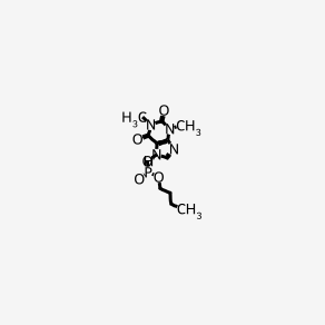 CCCCO[PH](=O)On1cnc2c1c(=O)n(C)c(=O)n2C